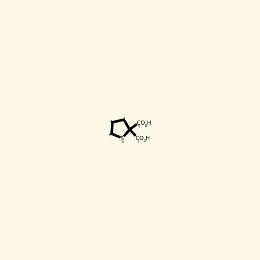 O=C(O)C1(C(=O)O)CCCS1